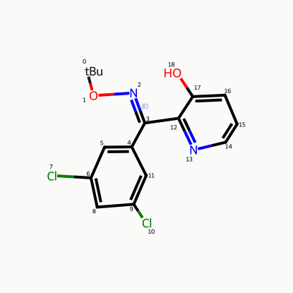 CC(C)(C)O/N=C(\c1cc(Cl)cc(Cl)c1)c1ncccc1O